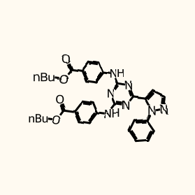 CCCCOC(=O)c1ccc(Nc2nc(Nc3ccc(C(=O)OCCCC)cc3)nc(-c3ccnn3-c3ccccc3)n2)cc1